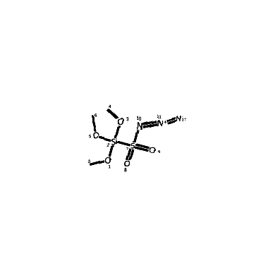 CO[Si](OC)(OC)S(=O)(=O)N=[N+]=[N-]